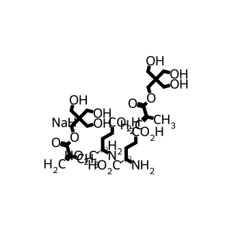 C=C(C)C(=O)OCC(CO)(CO)CO.C=C(C)C(=O)OCC(CO)(CO)CO.N[C@@H](CCC(=O)O)C(=O)O.N[C@@H](CCC(=O)O)C(=O)O.[NaH]